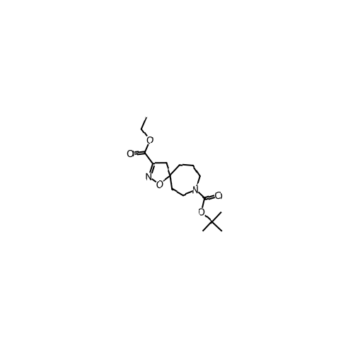 CCOC(=O)C1=NOC2(CCCN(C(=O)OC(C)(C)C)CC2)C1